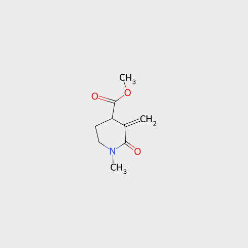 C=C1C(=O)N(C)CCC1C(=O)OC